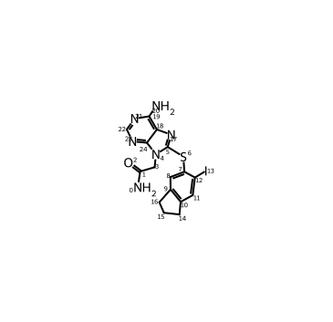 NC(=O)Cn1c(Sc2cc3c(cc2I)CCC3)nc2c(N)ncnc21